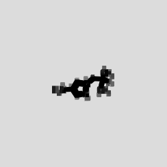 CC(C)(F)Cn1cc(N)cn1